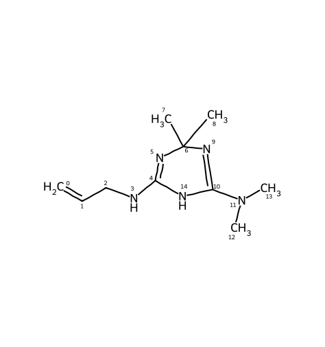 C=CCNC1=NC(C)(C)N=C(N(C)C)N1